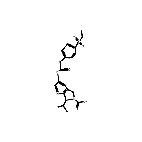 CCS(=O)(=O)c1ccc(CC(=O)Nc2cnc3c(c2)CN(C(=O)O)C3C(C)C)cc1